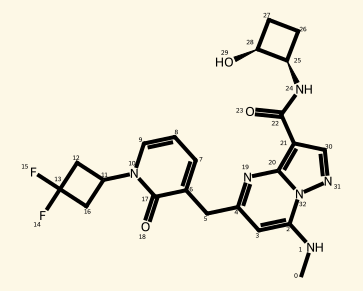 CNc1cc(Cc2cccn(C3CC(F)(F)C3)c2=O)nc2c(C(=O)N[C@@H]3CC[C@@H]3O)cnn12